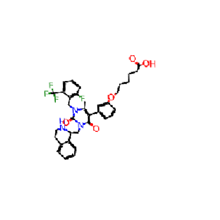 Cc1c(-c2cccc(OCCCCCC(=O)O)c2)c(=O)n(C[C@@H]2NCCc3ccccc32)c(=O)n1Cc1c(F)cccc1C(F)(F)F